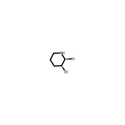 CC[C@H]1CCCN[C@H]1CC